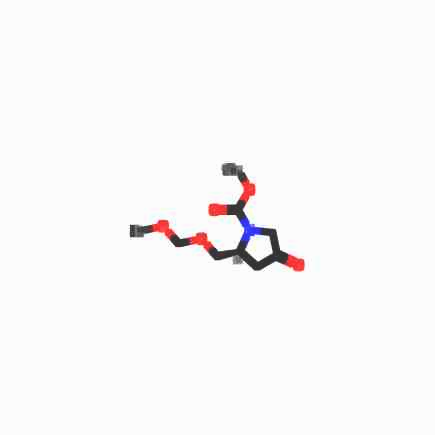 CCOCOC[C@@H]1CC(=O)CN1C(=O)OC(C)(C)C